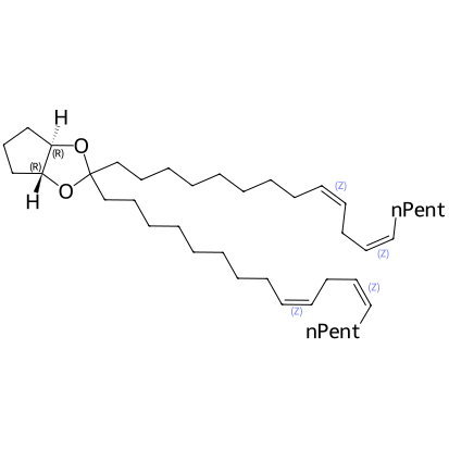 CCCCC/C=C\C/C=C\CCCCCCCCC1(CCCCCCCC/C=C\C/C=C\CCCCC)O[C@@H]2CCC[C@H]2O1